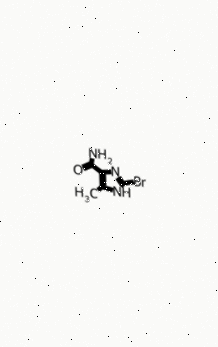 Cc1[nH]c(Br)nc1C(N)=O